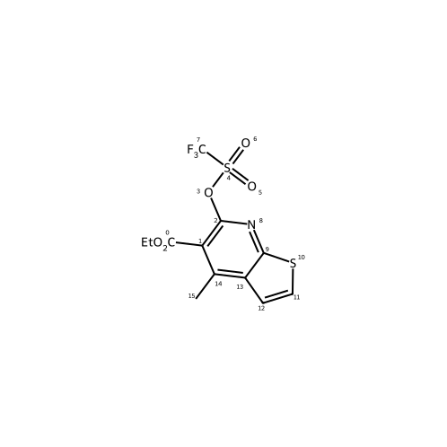 CCOC(=O)c1c(OS(=O)(=O)C(F)(F)F)nc2sccc2c1C